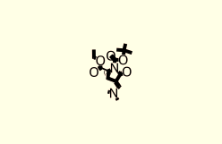 CCOC(=O)[C@@H]1CC(=CN(C)C)C(=O)N1C(=O)OC(C)(C)C